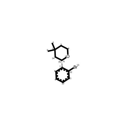 CC1(C)CCO[C@H](c2ccccc2Br)C1